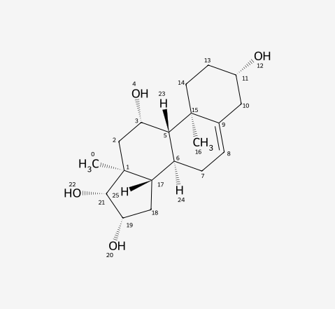 C[C@]12C[C@H](O)[C@H]3[C@@H](CC=C4C[C@@H](O)CC[C@@]43C)[C@@H]1C[C@H](O)[C@@H]2O